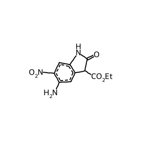 CCOC(=O)C1C(=O)Nc2cc([N+](=O)[O-])c(N)cc21